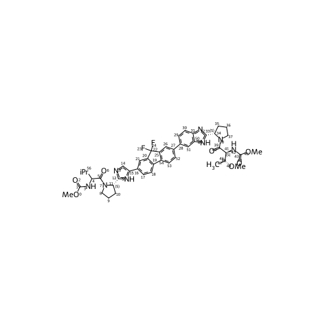 COC(=O)NC(C(=O)N1CCC[C@H]1c1ncc(-c2ccc3c(c2)C(F)(F)c2cc(-c4ccc5nc([C@@H]6CCCN6C(=O)[C@@H](NC(=O)OC)[C@@H](C)OC)[nH]c5c4)ccc2-3)[nH]1)C(C)C